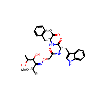 COC(=O)[C@H](Cc1ccccc1)NC(=O)[C@H](Cc1c[nH]c2ccccc12)NC(=O)CO/N=C(\C(O)C(C)O)[C@@H](OC)C(C)C